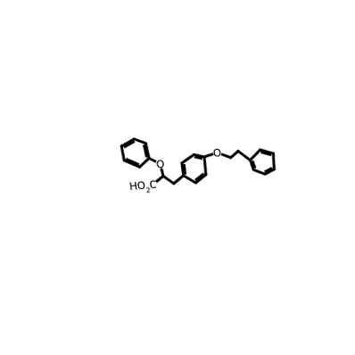 O=C(O)C(Cc1ccc(OCCc2ccccc2)cc1)Oc1ccccc1